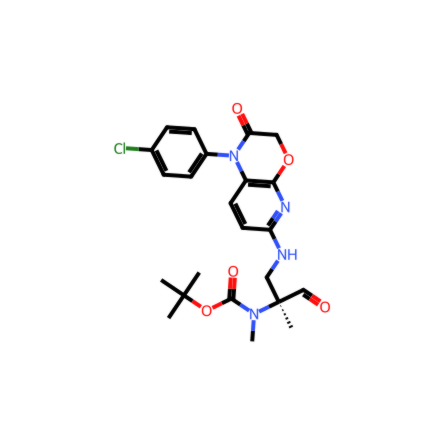 CN(C(=O)OC(C)(C)C)[C@](C)(C=O)CNc1ccc2c(n1)OCC(=O)N2c1ccc(Cl)cc1